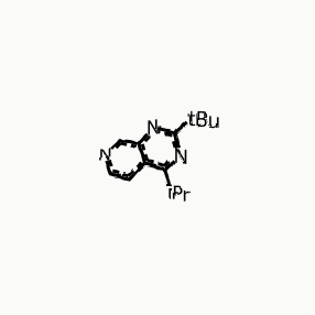 CC(C)c1nc(C(C)(C)C)nc2cnccc12